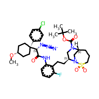 CO[C@H]1CC[C@](c2ccc(Cl)cc2)([C@H](N=[N+]=[N-])C(=O)Nc2cccc(F)c2CC[C@H]2CN(C(=O)OC(C)(C)C)[C@@H]3CCCS(=O)(=O)N2C3)CC1